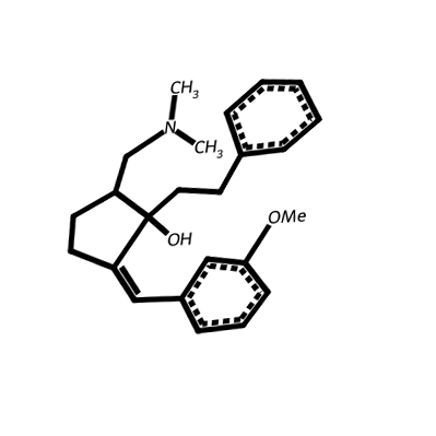 COc1cccc(C=C2CCC(CN(C)C)C2(O)CCc2ccccc2)c1